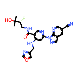 CC(C)(O)[C@H](F)CNC(=O)c1cnc(-n2ncc3cc(C#N)cnc32)cc1NCc1cocn1